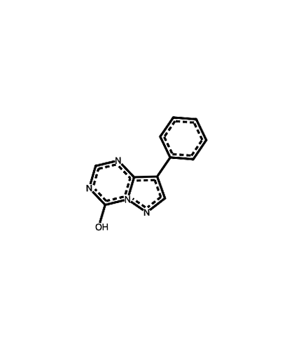 Oc1ncnc2c(-c3ccccc3)cnn12